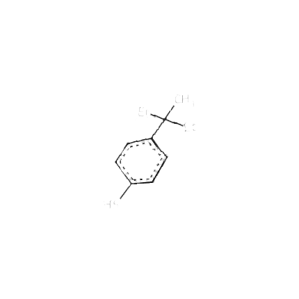 CCC(C)(CC)c1ccc(S)cc1